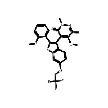 COc1ccccc1-c1sc2cc(OCC(F)(F)F)ccc2c1-c1c(OC)c(C)nn(C)c1=O